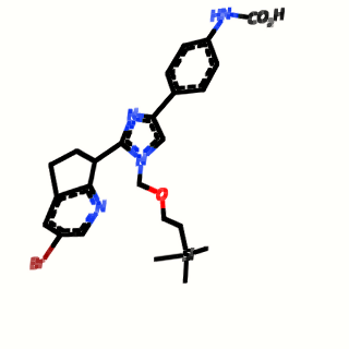 C[Si](C)(C)CCOCn1cc(-c2ccc(NC(=O)O)cc2)nc1C1CCc2cc(Br)cnc21